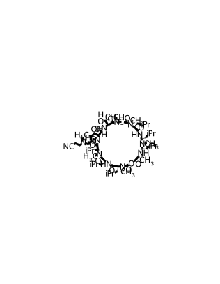 CC(C)C[C@@H]1C(=O)N[C@H](CC(C)C)C(=O)N(C)C(C(C)C)C(=O)N(C)C([C@H](O)[C@H](C)CCN(C)CCC#N)C(=O)NC([C@@H](C)O)C(=O)N(C)CC(=O)N(C)[C@@H](CC(C)C)C(=O)N[C@H](CC(C)C)N(C)[C@H](CC(C)C)N[C@H](C)C(=O)OC(=O)N1C